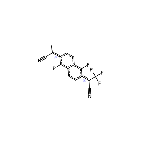 C/C(C#N)=c1\ccc2c(F)/c(=C(/C#N)C(F)(F)F)ccc2c1F